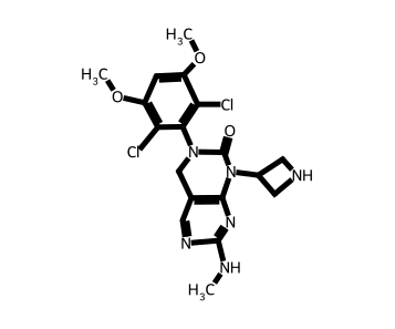 CNc1ncc2c(n1)N(C1CNC1)C(=O)N(c1c(Cl)c(OC)cc(OC)c1Cl)C2